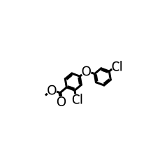 COC(=O)c1ccc(Oc2cccc(Cl)c2)cc1Cl